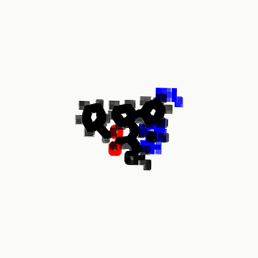 CC1=C(C(=O)OCc2ccccc2)C(c2ccccc2-c2cccc(N)c2)n2nnnc2N1